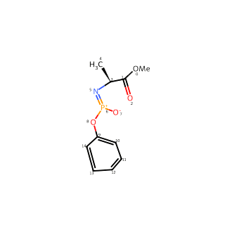 COC(=O)[C@H](C)N=[P+]([O-])Oc1ccccc1